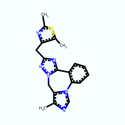 Cc1nc(Cc2nc3n(n2)Cc2c(C)ncn2-c2ccccc2-3)c(C)s1